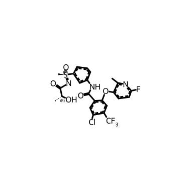 Cc1nc(F)ccc1Oc1cc(C(F)(F)F)c(Cl)cc1C(=O)Nc1cccc([S@@](C)(=O)=NC(=O)[C@@H](C)O)c1